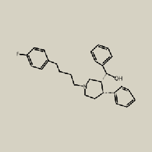 OC(c1ccccc1)[C@H]1CN(CCCCc2ccc(F)cc2)CC[C@H]1c1ccccc1